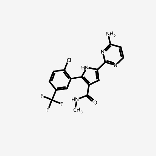 CNC(=O)c1cc(-c2nccc(N)n2)[nH]c1-c1cc(C(F)(F)F)ccc1Cl